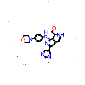 O=CC1NC=Cc2cc(-c3cncnc3)nc(Nc3ccc(N4CCOCC4)cc3)c21